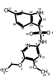 CCOc1cnc(NS(=O)(=O)c2c[nH]c3cc(Cl)ccc23)nc1OC